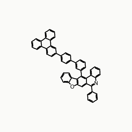 c1ccc(-c2nc3ccccc3c3c(-c4cccc(-c5ccc(-c6ccc7c8ccccc8c8ccccc8c7c6)cc5)c4)c4c(cc23)oc2ccccc24)cc1